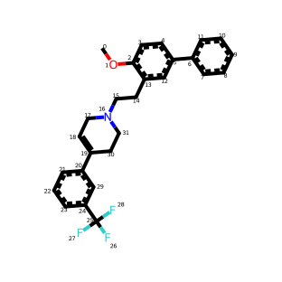 COc1ccc(-c2ccccc2)cc1CCN1CC=C(c2cccc(C(F)(F)F)c2)CC1